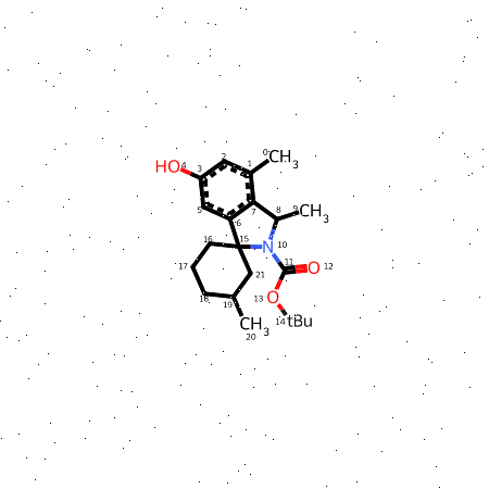 Cc1cc(O)cc2c1C(C)N(C(=O)OC(C)(C)C)C21CCCC(C)C1